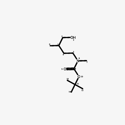 CC(CO)CCN(C)C(=O)OC(C)(C)C